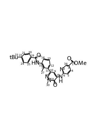 COC(=O)c1ccc(Nc2cc(-c3cccc(NC(=O)c4ccc(C(C)(C)C)cc4)c3C)nn(C)c2=O)nc1